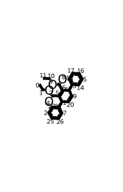 CCOC(=O)C1=C(C(=O)OCC)C(c2ccccc2)C=CC1c1ccccc1